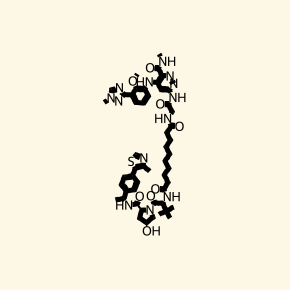 CNC(=O)c1nnc(NC(=O)CNC(=O)CCCCCCCCC(=O)NC(C(=O)N2C[C@H](O)C[C@H]2C(=O)NC(C)c2ccc(-c3scnc3C)cc2)C(C)(C)C)cc1Nc1cccc(-c2ncn(C)n2)c1OC